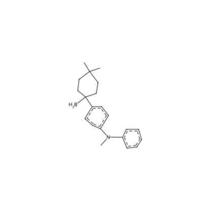 BC1(c2ccc(N(C)c3ccccc3)cc2)CCC(C)(C)CC1